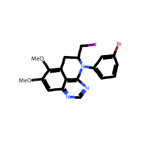 COc1cc2ncnc3c2c(c1OC)CC(CI)N3c1cccc(Br)c1